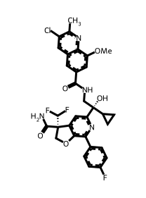 COc1cc(C(=O)NC[C@](O)(c2cc3c(c(-c4ccc(F)cc4)n2)OC[C@]3(C(N)=O)C(F)F)C2CC2)cc2cc(Cl)c(C)nc12